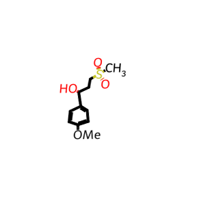 COc1ccc(C(O)CCS(C)(=O)=O)cc1